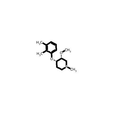 CO[C@@H]1CN(C)CC[C@@H]1Oc1cccc(C)c1C